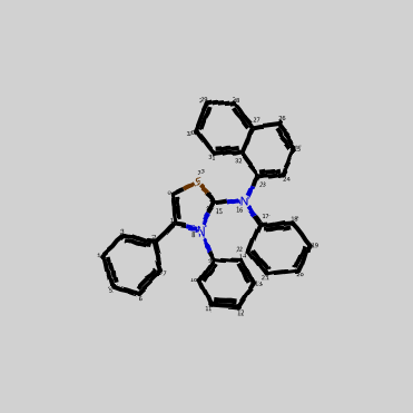 [C]1=C(c2ccccc2)N(c2ccccc2)C(N(c2ccccc2)c2cccc3ccccc23)S1